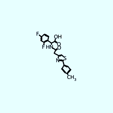 Cc1ccc(-c2nc(CC(=O)NC(C(=O)O)c3ccc(F)cc3F)cs2)cc1